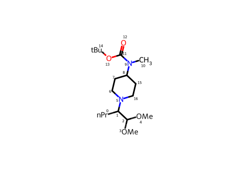 CCCC(C(OC)OC)N1CCC(N(C)C(=O)OC(C)(C)C)CC1